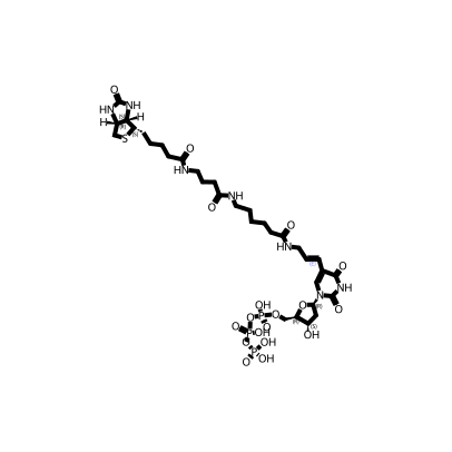 O=C(CCCCCNC(=O)CCCNC(=O)CCCC[C@@H]1SC[C@@H]2NC(=O)N[C@@H]21)NC/C=C/c1cn([C@H]2C[C@H](O)[C@@H](COP(=O)(O)OP(=O)(O)OP(=O)(O)O)O2)c(=O)[nH]c1=O